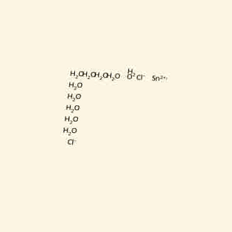 O.O.O.O.O.O.O.O.O.O.[Cl-].[Cl-].[Sn+2]